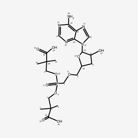 CC(C)(COP(=O)(COCC1CC(O)C(n2cnc3c(N)ncnc32)O1)OCC(C)(C)C(=O)O)C(=O)O